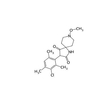 CON1CCC2(CC1)NC(=O)C(c1c(C)cc(C)c(Cl)c1C)C2=O